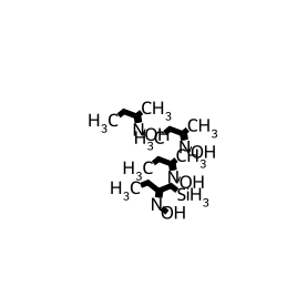 CCC(C)=NO.CCC(C)=NO.CCC(C)=NO.CCC(C[SiH3])=NO